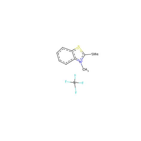 CSc1sc2ccccc2[n+]1C.F[B-](F)(F)F